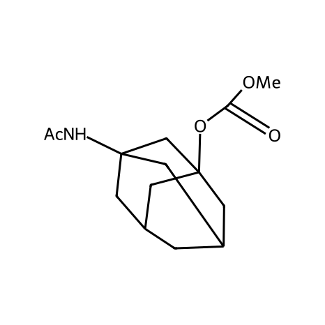 COC(=O)OC12CC3CC(CC(NC(C)=O)(C3)C1)C2